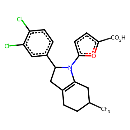 O=C(O)c1ccc(N2C3=C(CCC(C(F)(F)F)C3)CC2c2ccc(Cl)c(Cl)c2)o1